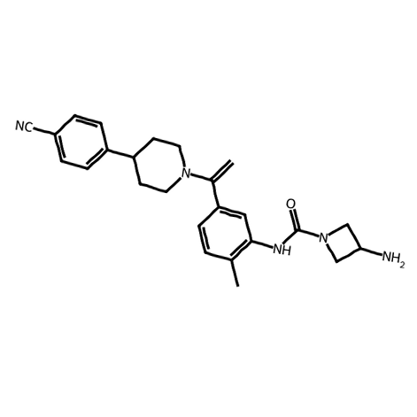 C=C(c1ccc(C)c(NC(=O)N2CC(N)C2)c1)N1CCC(c2ccc(C#N)cc2)CC1